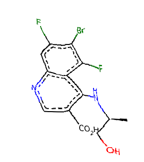 C[C@@H](CO)Nc1c(C(=O)O)cnc2cc(F)c(Br)c(F)c12